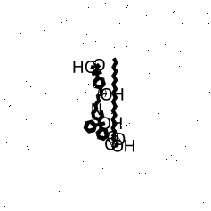 CC(C)(C(=O)O)c1ccc([C@@H](O)CCCN2CCC(C(O)(c3ccccc3)c3ccccc3)CC2)cc1.CCCCCCCCCCCCCCCCCCOS(=O)(=O)O